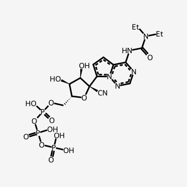 CCN(CC)C(=O)Nc1ncnn2c([C@]3(C#N)O[C@H](COP(=O)(O)OP(=O)(O)OP(=O)(O)O)[C@@H](O)[C@H]3O)ccc12